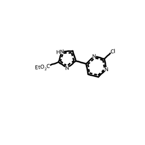 CCOC(=O)c1nc(-c2ccnc(Cl)n2)c[nH]1